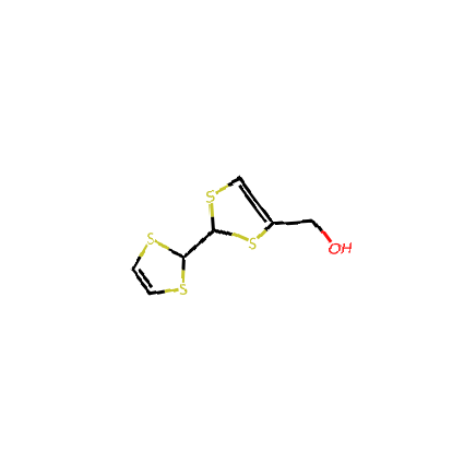 OCC1=CSC(C2SC=CS2)S1